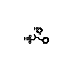 CC(CCc1ccccc1)CS(=O)(=O)O.c1c[nH]cn1